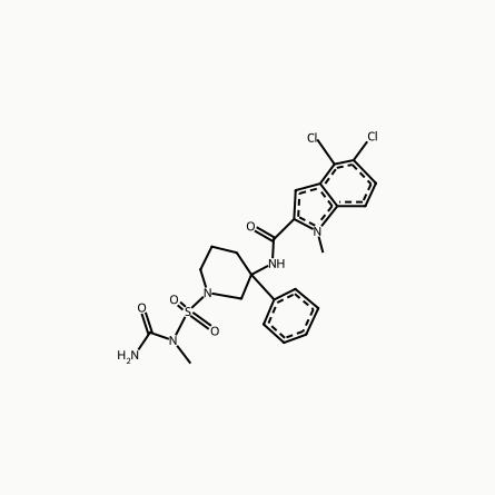 CN(C(N)=O)S(=O)(=O)N1CCCC(NC(=O)c2cc3c(Cl)c(Cl)ccc3n2C)(c2ccccc2)C1